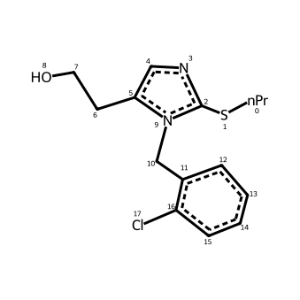 CCCSc1ncc(CCO)n1Cc1ccccc1Cl